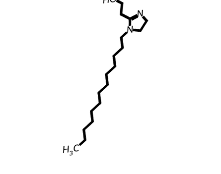 CCCCCCCCCCCCCN1CCN=C1CCO